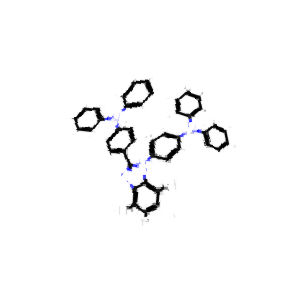 [2H]c1c([2H])c([2H])c2c(nc(-c3ccc(N(c4ccccc4)c4ccccc4)cc3)n2-c2ccc(N(c3ccccc3)c3ccccc3)cc2)c1[2H]